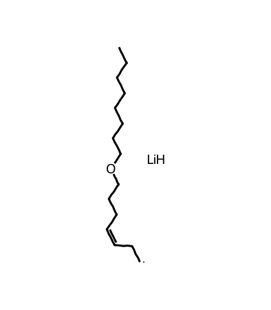 [CH2]C/C=C\CCCOCCCCCCCC.[LiH]